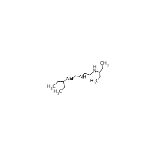 CCC(CC)NCCNCCNC(CC)CC